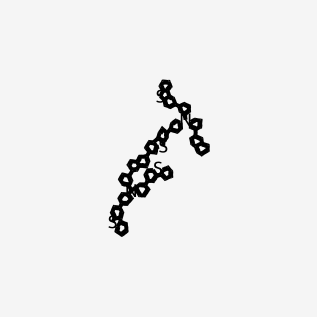 c1cc(-c2ccc3ccccc3c2)cc(N(c2ccc(-c3ccc4c(c3)sc3cc(-c5ccc6cc(-c7cccc(N(c8ccc(-c9ccc%10sc%11ccccc%11c%10c9)cc8)c8cccc(-c9ccc%10sc%11ccccc%11c%10c9)c8)c7)ccc6c5)ccc34)cc2)c2cccc(-c3ccc4sc5ccccc5c4c3)c2)c1